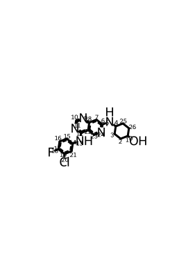 OC1CCC(Nc2cc3ncnc(Nc4ccc(F)c(Cl)c4)c3cn2)CC1